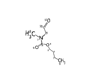 CCCCOC(=O)N(C)CC=O